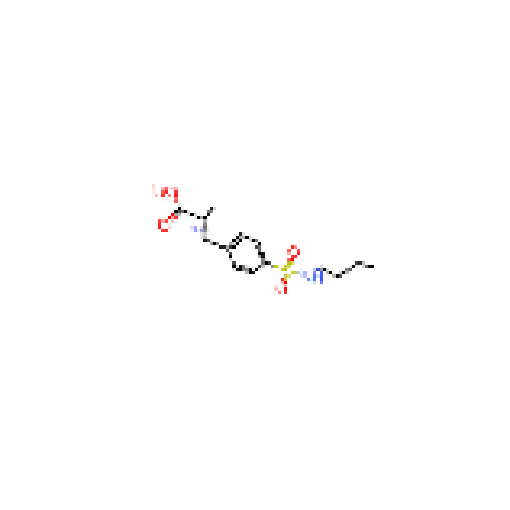 CCCCNS(=O)(=O)c1ccc(/C=C(\C)C(=O)O)cc1